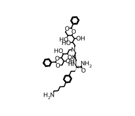 NCCCCc1ccc(CC[C@H](NCCCN(CC(O)C(O)C2OC(c3ccccc3)OCC2O)CC(O)C(O)C2OC(c3ccccc3)OCC2O)C(N)=O)cc1